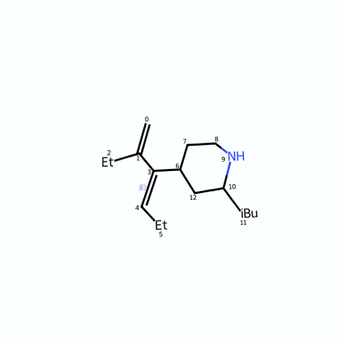 C=C(CC)/C(=C/CC)C1CCNC(C(C)CC)C1